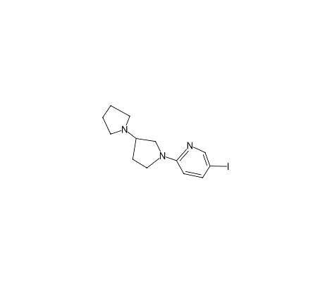 Ic1ccc(N2CCC(N3CCCC3)C2)nc1